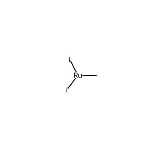 [CH3][Ru]([I])[I]